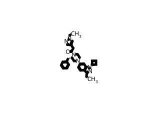 CCc1nn(C2CCC2)c2cc(N3CCN(C(=O)Cc4cnn(CC)c4)[C@@H](Cc4ccccc4)C3)ccc12